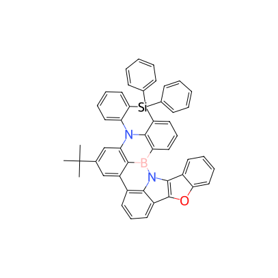 CC(C)(C)c1cc2c3c(c1)N1c4ccccc4[Si](c4ccccc4)(c4ccccc4)c4cccc(c41)B3n1c3c-2cccc3c2oc3ccccc3c21